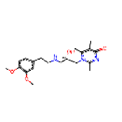 COc1ccc(CCNC[C@H](O)Cn2c(C)nc(=O)c(C)c2C)cc1OC